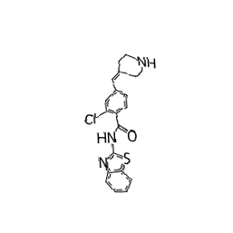 O=C(Nc1nc2ccccc2s1)c1ccc(C=C2CCNCC2)cc1Cl